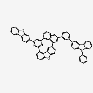 c1ccc(-c2cc(-c3ccc4c(c3)oc3ccccc34)nc(-c3cccc4oc5ccc(-c6cccc(-c7cccc(-c8ccc9c(c8)c8ccccc8n9-c8ccccc8)c7)c6)cc5c34)n2)cc1